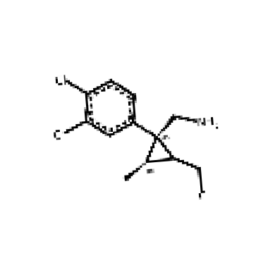 C[C@@H]1C(CCl)[C@@]1(CN)c1ccc(Cl)c(Cl)c1